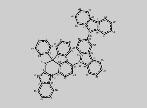 c1ccc(C2(c3ccccc3)Sc3nc4ccccc4n3-c3ccc(-n4c5ccccc5c5cc(-n6c7ccccc7c7ccccc76)ccc54)cc32)cc1